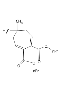 CCCOC(=O)C1=CCC(C)(C)CC=C1C(=O)OCCC